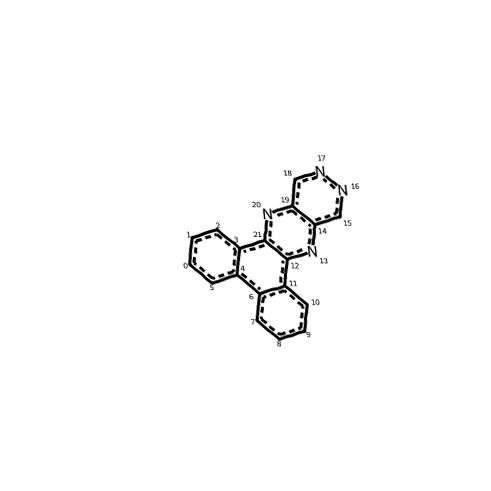 c1ccc2c(c1)c1ccccc1c1nc3cnncc3nc21